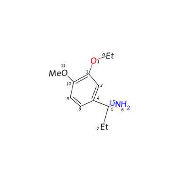 CCOc1cc(C([15NH2])CC)ccc1OC